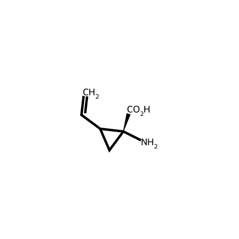 C=CC1C[C@]1(N)C(=O)O